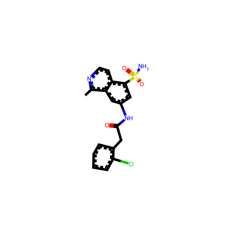 Cc1nccc2c(S(N)(=O)=O)cc(NC(=O)Cc3ccccc3Cl)cc12